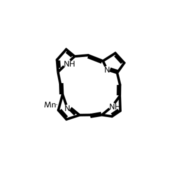 C1=Cc2cc3ccc(cc4nc(cc5ccc(cc1n2)[nH]5)C=C4)[nH]3.[Mn]